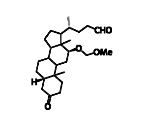 COCO[C@H]1CC2C(CC[C@H]3CC(=O)CCC23C)C2CCC([C@H](C)CCC=O)C21C